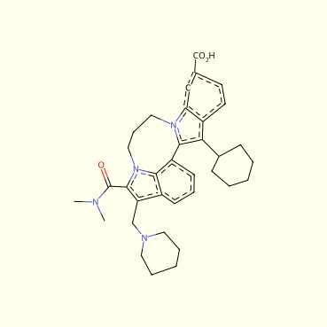 CN(C)C(=O)c1c(CN2CCCCC2)c2cccc3c2n1CCCn1c-3c(C2CCCCC2)c2ccc(C(=O)O)cc21